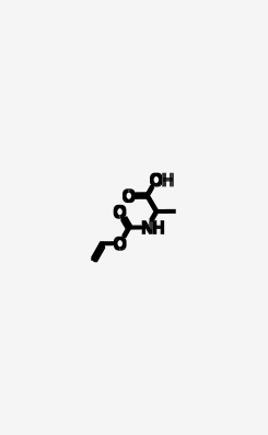 C=COC(=O)NC(C)C(=O)O